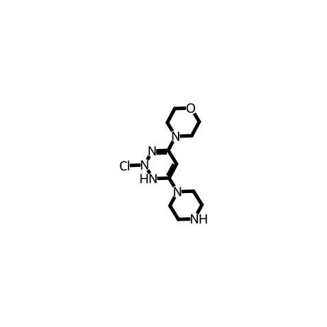 ClN1N=C(N2CCOCC2)C=C(N2CCNCC2)N1